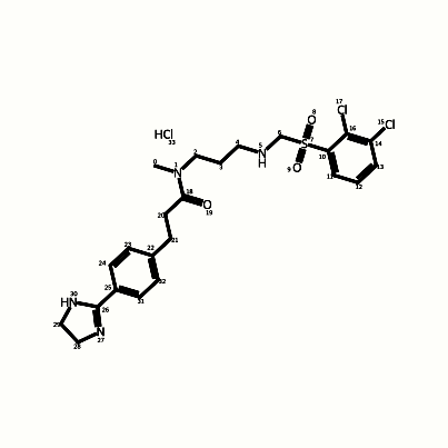 CN(CCCNCS(=O)(=O)c1cccc(Cl)c1Cl)C(=O)CCc1ccc(C2=NCCN2)cc1.Cl